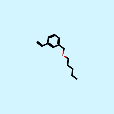 C=Cc1cccc(COCCCCC)c1